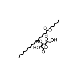 CCCCCCCCCCCCCCCC(=O)OCCCCC.O=C1O[C@H]([C@@H](O)CO)C(O)=C1O